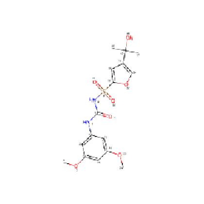 COc1cc(NC(=O)NS(=O)(=O)c2cc(C(C)(C)O)co2)cc(OC)c1